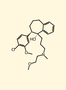 COCCN(C)CCC[C@]1(O)c2ccccc2CCC[C@@H]1c1ccc(Cl)c(OC)c1